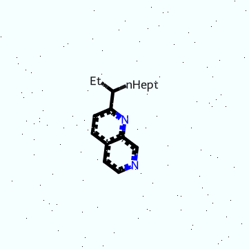 CCCCCCCC(CC)c1ccc2ccncc2n1